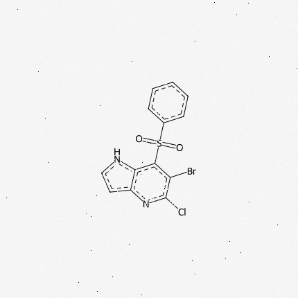 O=S(=O)(c1ccccc1)c1c(Br)c(Cl)nc2cc[nH]c12